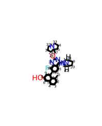 Cc1cccc2cc(O)cc(-c3ccc4c(N5C[C@H]6CC[C@@H](C5)N6)nc(OCC56CCCN5CCC6)nc4c3F)c12